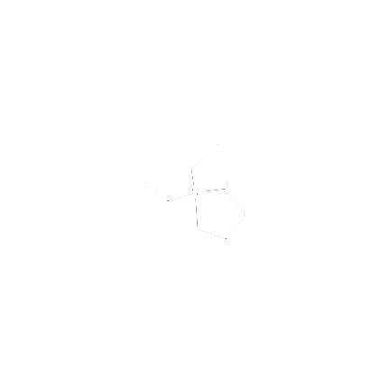 CC(C)C[N+]1(CI)CCCC1